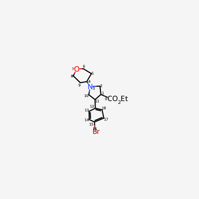 CCOC(=O)C1CN(C2CCOCC2)CC1c1ccc(Br)cc1